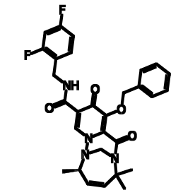 C[C@@H]1C=CC(C)(C)N2CN1n1cc(C(=O)NCc3ccc(F)cc3F)c(=O)c(OCc3ccccc3)c1C2=O